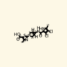 Cc1nc(N2C[C@@H]3C(NC(=O)c4[nH]c(C)c(Cl)c4Cl)[C@@H]3C2)sc1C(=O)O